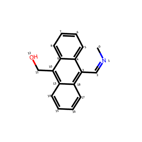 C/N=C\c1c2ccccc2c(CO)c2ccccc12